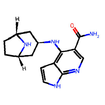 NC(=O)c1cnc2[nH]ccc2c1N[C@@H]1C[C@H]2CC[C@@H](C1)N2